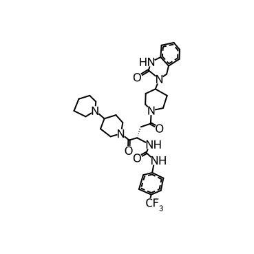 O=C(Nc1ccc(C(F)(F)F)cc1)N[C@@H](CC(=O)N1CCC(N2Cc3ccccc3NC2=O)CC1)C(=O)N1CCC(N2CCCCC2)CC1